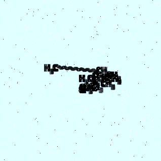 CCCCCCCCCCCCCCC(C)OC(C[N+](CC)(CC)CC)C[N+](CC)(CC)CC.[Cl-].[Cl-]